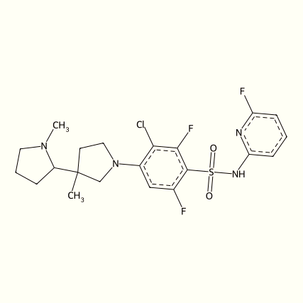 CN1CCCC1C1(C)CCN(c2cc(F)c(S(=O)(=O)Nc3cccc(F)n3)c(F)c2Cl)C1